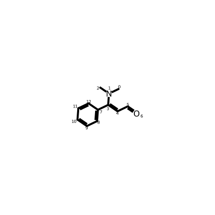 CN(C)C(=CC=O)c1ccccc1